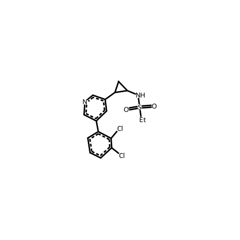 CCS(=O)(=O)NC1CC1c1cncc(-c2cccc(Cl)c2Cl)c1